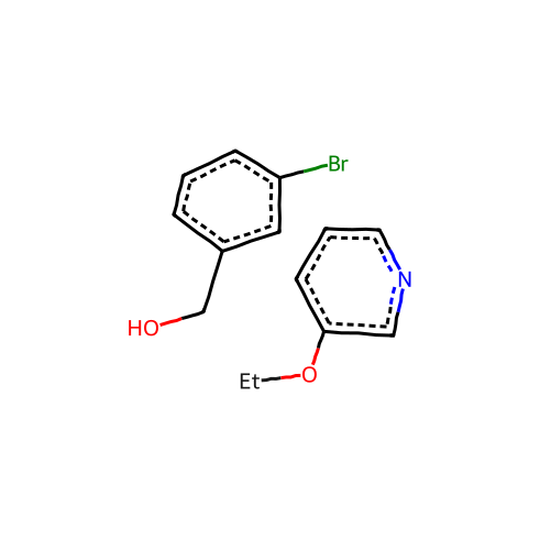 CCOc1cccnc1.OCc1cccc(Br)c1